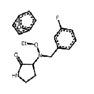 CCON(Cc1cccc(F)c1)C1CCNC1=O.c1cc2ccc1o2